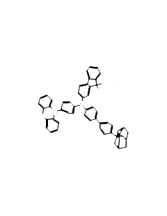 CC1(C)c2ccccc2-c2ccc(N(c3ccc(-c4ccc(C56CC7CC(CC(C7)C5)C6)cc4)cc3)c3ccc(N4c5ccccc5Sc5ccccc54)cc3)cc21